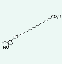 O=C(O)CCCCCCCCCCCCCCCCCNCCc1ccc(O)c(O)c1